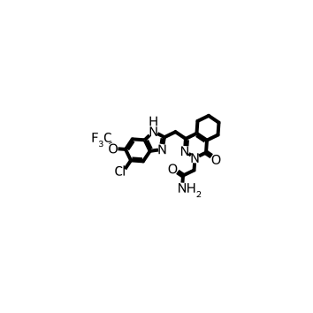 NC(=O)Cn1nc(Cc2nc3cc(Cl)c(OC(F)(F)F)cc3[nH]2)c2c(c1=O)CCCC2